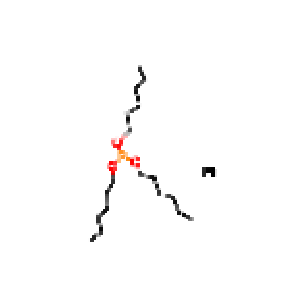 CCCCCCOP(OCCCCCC)OCCCCCC.[Pt]